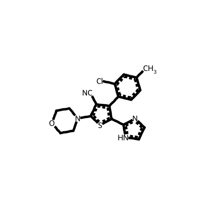 Cc1ccc(-c2c(-c3ncc[nH]3)sc(N3CCOCC3)c2C#N)c(Cl)c1